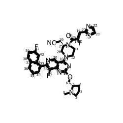 CN1CCC[C@H]1COc1nc(N2CCN(C(=O)/C(F)=C/c3nccs3)[C@@H](CC#N)C2)c2cnc(-c3cccc4ccc(F)cc34)c(F)c2n1